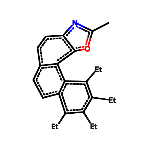 CCc1c(CC)c(CC)c2c(ccc3ccc4nc(C)oc4c32)c1CC